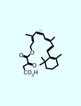 CC(C=CC1=C(C)CCCC1(C)C)=C/C=C\C(C)=CCOC(=O)C(=O)CC(=O)O